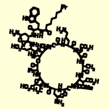 COC(C(=O)O)C1NC(=O)C(C)NC(=O)C(CC(=O)O)NC(=O)C(CCCN)NC(=O)CNC(=O)C(NC(=O)C(CC(=O)O)NC(=O)C(CC(N)=O)NC(=O)C(Cc2c[nH]c3ccccc23)NC(=O)CCCCCCC(C)C)C(C)OC(=O)C(C(C)C)NC(=O)C(C(C)CC(=O)O)NC(=O)C(CC(N)=O)NC(=O)CNC1=O